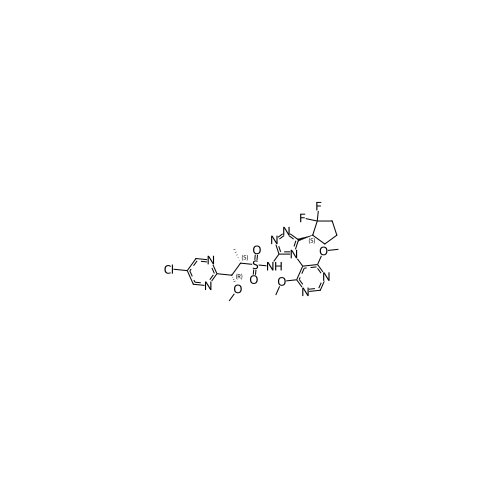 COc1ncnc(OC)c1-n1c(NS(=O)(=O)[C@@H](C)[C@H](OC)c2ncc(Cl)cn2)nnc1[C@@H]1CCCC1(F)F